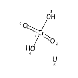 [O]=[Cr](=[O])([OH])[OH].[U]